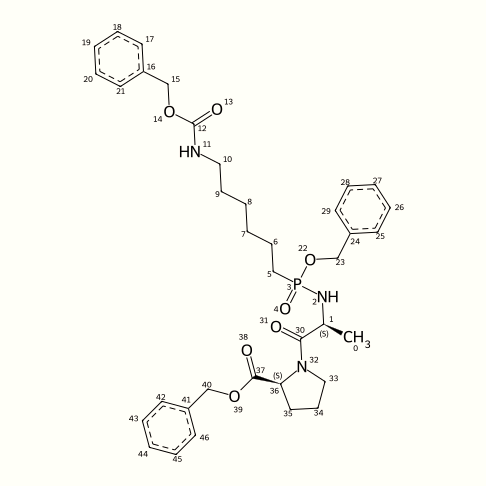 C[C@H](NP(=O)(CCCCCCNC(=O)OCc1ccccc1)OCc1ccccc1)C(=O)N1CCC[C@H]1C(=O)OCc1ccccc1